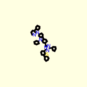 c1ccc(-c2nc(-c3ccc4c5ccc(-n6c7ccccc7c7cccnc76)cc5n(-c5ccccc5)c4c3)nc(-c3cccc4c3sc3ccccc34)n2)cc1